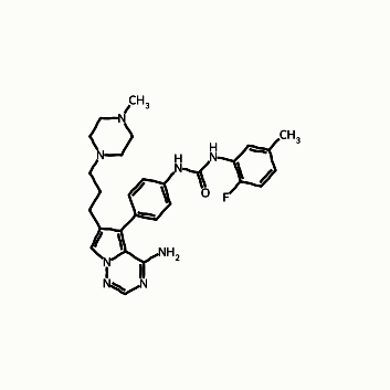 Cc1ccc(F)c(NC(=O)Nc2ccc(-c3c(CCCN4CCN(C)CC4)cn4ncnc(N)c34)cc2)c1